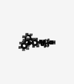 CC(C)(O)C(C)(C)OBc1ccc2c(c1)c1c3c(c4ccccc4n32)=CCC1